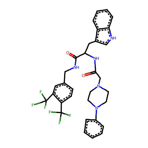 O=C(CN1CCN(c2ccccc2)CC1)NC(Cc1c[nH]c2ccccc12)C(=O)NCc1ccc(C(F)(F)F)c(C(F)(F)F)c1